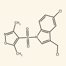 Cc1noc(C)c1S(=O)(=O)n1cc(CCl)c2cc(Cl)ccc21